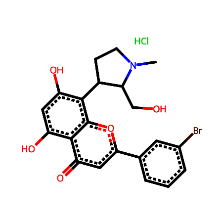 CN1CCC(c2c(O)cc(O)c3c(=O)cc(-c4cccc(Br)c4)oc23)C1CO.Cl